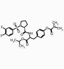 CC(C)OC(=O)C(Cc1ccc(OC(=O)N(C)C)cc1)NC(=O)[C@@H]1CCCN1S(=O)(=O)c1ccc(F)c(F)c1